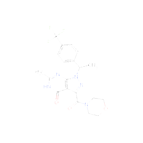 Cc1nc2c(c(C(=O)N3CCOCC3)nn2C(C)c2ccc(C(F)(F)F)cc2)c(=O)[nH]1